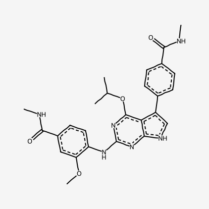 CNC(=O)c1ccc(-c2c[nH]c3nc(Nc4ccc(C(=O)NC)cc4OC)nc(OC(C)C)c23)cc1